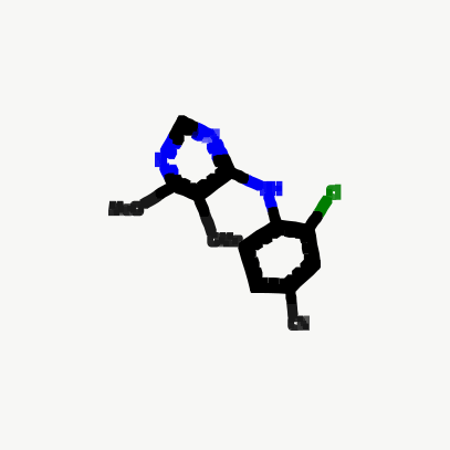 COc1ncnc(Nc2ccc(C#N)cc2Cl)c1OC